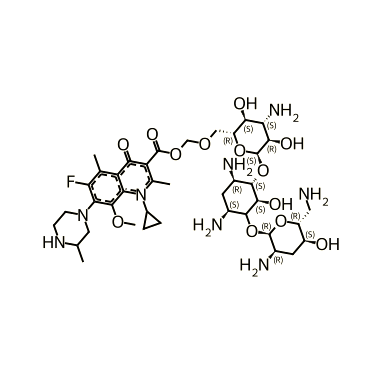 COc1c(N2CCNC(C)C2)c(F)c(C)c2c(=O)c(C(=O)OCOC[C@H]3O[C@H](O[C@H]4[C@H](N)C[C@H](N)C(O[C@H]5O[C@H](CN)[C@@H](O)C[C@H]5N)[C@@H]4O)[C@H](O)[C@@H](N)[C@@H]3O)c(C)n(C3CC3)c12